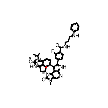 COC(=O)N[C@@H]1CC[C@@H](n2c(=O)n(C)c3cnc4[nH]c(-c5ccc(C(=O)NCCCNc6ccccc6)c(F)c5)c(-c5ccc6c(cnn6C(C)C)c5)c4c32)C1